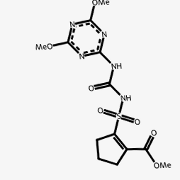 COC(=O)C1=C(S(=O)(=O)NC(=O)Nc2nc(OC)nc(OC)n2)CCC1